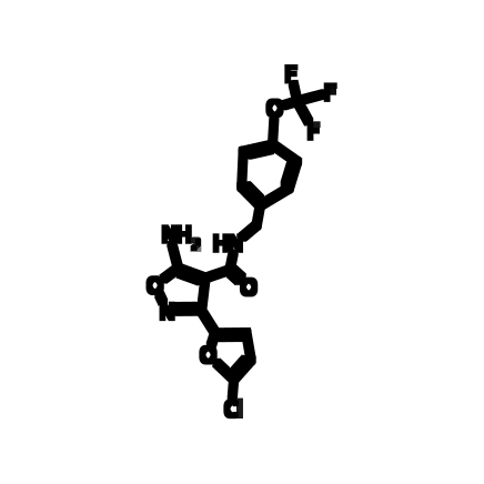 Nc1onc(-c2ccc(Cl)o2)c1C(=O)NCc1ccc(OC(F)(F)F)cc1